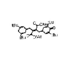 COC(=O)/C(C=C1C=C(C(C)(C)C)CC(C(C)(C)C)=C1)=C(\C=C1C=C(C(C)(C)C)C(=O)C(C(C)(C)C)=C1)C(=O)OC